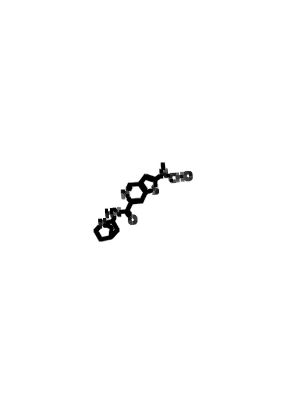 CN(C=O)c1cc2cnc(C(=O)NC3CC4CCN3C4)cc2s1